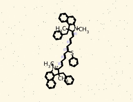 CN1/C(=C/C=C/C=C(/C=C/C=C/C2=[N+](C)c3ccc4ccccc4c3C2(C)Cc2ccccc2)Sc2ccccc2)C(C)(Cc2ccccc2)c2c1ccc1ccccc21